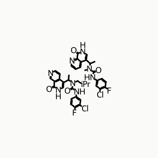 CC(C)CN(C(=O)Nc1ccc(F)c(Cl)c1)C(C)c1c[nH]c(=O)c2cnccc12.CC(c1c[nH]c(=O)c2ncccc12)N(C)C(=O)Nc1ccc(F)c(Cl)c1